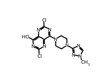 Cn1cnc(N2CCN(c3nc(Cl)nc4c(O)nc(Cl)nc34)CC2)n1